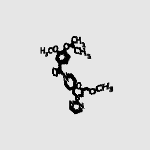 COCC1CN(c2ncccn2)CC2(CCN(C(=O)c3ccc(OC(C)C)c(OC)c3)CC2)O1